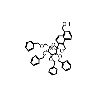 OCc1cccc2c3c(ccc12)[C@]1(OC3)O[C@H](COCc2ccccc2)[C@@H](OCc2ccccc2)[C@H](OCc2ccccc2)[C@H]1OCc1ccccc1